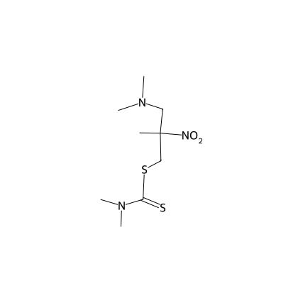 CN(C)CC(C)(CSC(=S)N(C)C)[N+](=O)[O-]